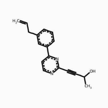 C=CCc1cccc(-c2ccnc(C#CC(C)O)n2)c1